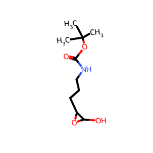 CC(C)(C)OC(=O)NCCCC1OC1O